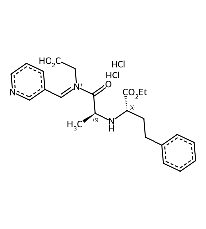 CCOC(=O)[C@H](CCc1ccccc1)N[C@@H](C)C(=O)[N+](=Cc1cccnc1)CC(=O)O.Cl.Cl